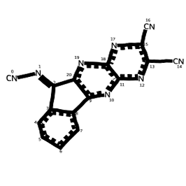 [C-]#[N+]/N=C1\c2ccccc2-c2nc3nc(C#N)c(C#N)nc3nc21